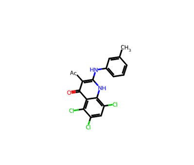 CC(=O)c1c(Nc2cccc(C)c2)[nH]c2c(Cl)cc(Cl)c(Cl)c2c1=O